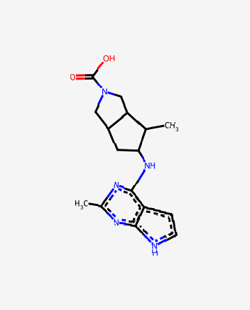 Cc1nc(NC2CC3CN(C(=O)O)CC3C2C)c2cc[nH]c2n1